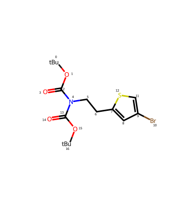 CC(C)(C)OC(=O)N(CCc1cc(Br)cs1)C(=O)OC(C)(C)C